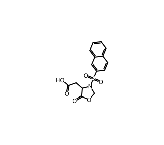 O=C(O)CC1C(=O)OCN1S(=O)(=O)c1ccc2ccccc2c1